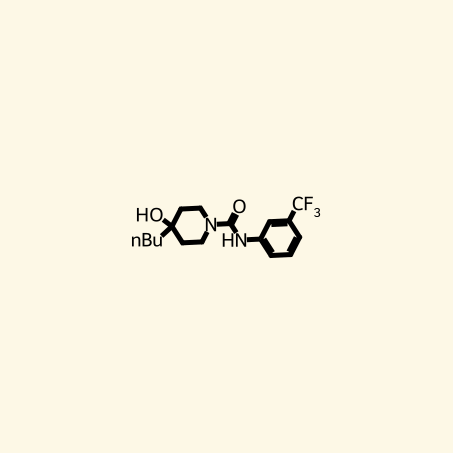 CCCCC1(O)CCN(C(=O)Nc2cccc(C(F)(F)F)c2)CC1